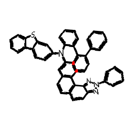 c1ccc(-c2ccccc2-c2ccccc2N(c2ccc3c(ccc4ccc5nn(-c6ccccc6)nc5c43)c2)c2ccc3c(c2)sc2ccccc23)cc1